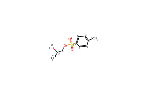 Cc1ccc(S(=O)(=O)OC[C@@H](C)O)cc1